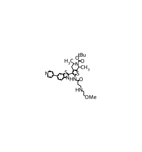 COCCNCCC(=O)Nc1sc2c(c1-c1nc3ccc(-c4ccncc4)cc3s1)CC(C)N(C(=O)OC(C)(C)C)C2C